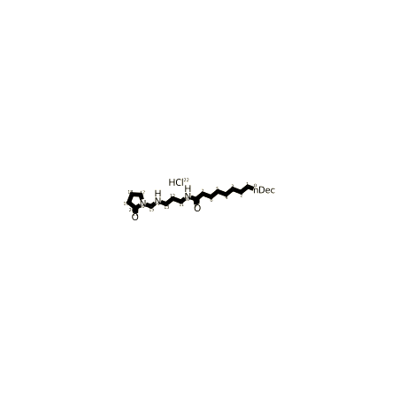 CCCCCCCCCCCCCCCCCC(=O)NCCCNCN1CCCC1=O.Cl